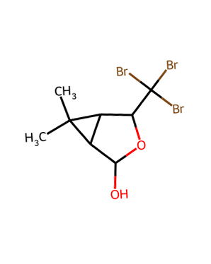 CC1(C)C2C(O)OC(C(Br)(Br)Br)C21